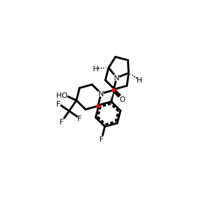 O=C(N1CCC(O)(C(F)(F)F)CC1)N1[C@@H]2CC[C@H]1C[C@@H](c1ccc(F)cc1)C2